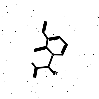 C=CC1=CC=CN(C(C(=C)C)C(C)C)C1=C